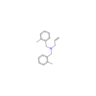 C=CCN(Cc1ccccc1C)Cc1ccccc1C